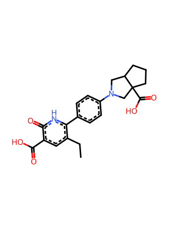 CCc1cc(C(=O)O)c(=O)[nH]c1-c1ccc(N2CC3CCCC3(C(=O)O)C2)cc1